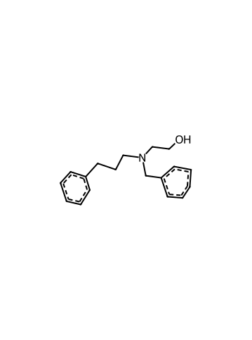 OCCN(CCCc1ccccc1)Cc1ccccc1